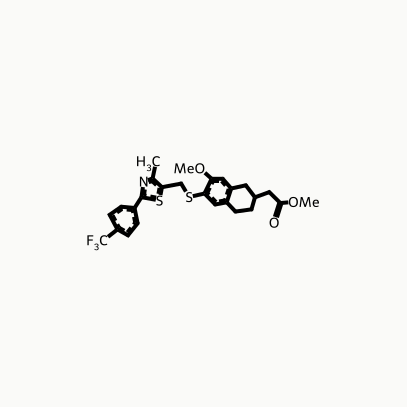 COC(=O)CC1CCc2cc(SCc3sc(-c4ccc(C(F)(F)F)cc4)nc3C)c(OC)cc2C1